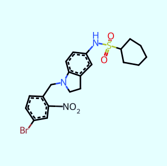 O=[N+]([O-])c1cc(Br)ccc1CN1CCc2cc(NS(=O)(=O)C3CCCCC3)ccc21